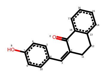 O=C1C(=Cc2ccc(O)cc2)CCc2ccccc21